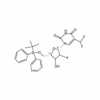 CC(C)(C)[Si](OC[C@@H]1O[C@H](n2cc(C(F)F)c(=O)[nH]c2=O)C(F)C1O)(c1ccccc1)c1ccccc1